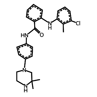 Cc1c(Cl)cccc1Nc1ccccc1C(=O)Nc1ccc(N2CCNC(C)(C)C2)cc1